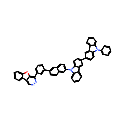 c1ccc(-n2c3ccccc3c3cc(-c4ccc5c(c4)c4ccccc4n5-c4ccc5cc(-c6cccc(-c7nncc8c7oc7ccccc78)c6)ccc5c4)ccc32)cc1